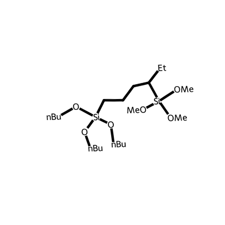 [CH2]CC(CCC[Si](OCCCC)(OCCCC)OCCCC)[Si](OC)(OC)OC